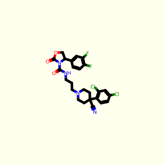 N#CC1(c2ccc(Cl)cc2Cl)CCN(CCCNC(=O)N2C(=O)OCC2c2ccc(F)c(F)c2)CC1